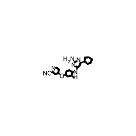 Cc1cc(Oc2ccnc(C#N)c2)ccc1Nc1cc(-c2ccccc2)nc(N)n1